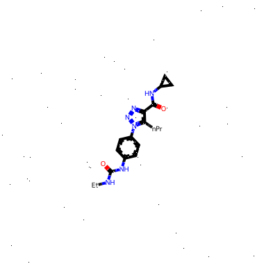 CCCc1c(C(=O)NC2CC2)nnn1-c1ccc(NC(=O)NCC)cc1